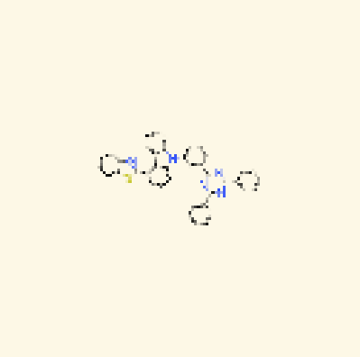 c1ccc(-c2nc(-c3ccccc3)nc(-c3cccc(-n4c5ccccc5c5c(-c6nc7ccccc7s6)cccc54)c3)n2)cc1